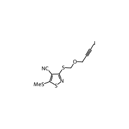 CSc1snc(SCOCC#CI)c1C#N